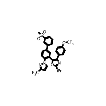 CC(C)c1nc(-c2ccc(OC(F)(F)F)cc2)c(-c2cc(-c3cccc(S(C)(=O)=O)c3)ccc2-n2ccc(C(F)(F)F)n2)o1